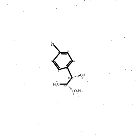 C[C@@H](C(=O)O)[C@@H](O)c1ccc(Cl)cc1